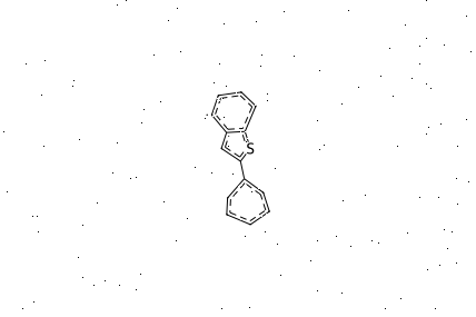 [c]1cccc2sc(-c3ccccc3)cc12